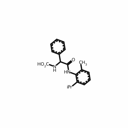 Cc1cccc(C(C)C)c1NC(=O)C(NC(=O)O)c1ccccc1